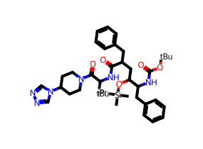 CC(C)C(NC(=O)C(Cc1ccccc1)CC(O[Si](C)(C)C(C)(C)C)C(Cc1ccccc1)NC(=O)OC(C)(C)C)C(=O)N1CCC(n2cnnc2)CC1